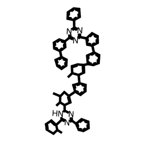 CC1CC=CC=C1C1=NC(c2ccccc2)=NC(C2C=C(c3cccc(C4C=C(c5cccc(-c6cccc(-c7nc(-c8ccccc8)nc(-c8cccc(-c9ccccc9)c8)n7)c6)c5)C=CC4C)c3)CC(C)C2C)N1